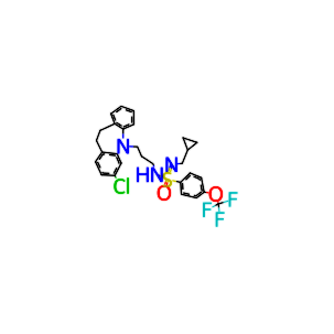 O=[S@@](=NCC1CC1)(NCCCN1c2ccccc2CCc2ccc(Cl)cc21)c1ccc(OC(F)(F)F)cc1